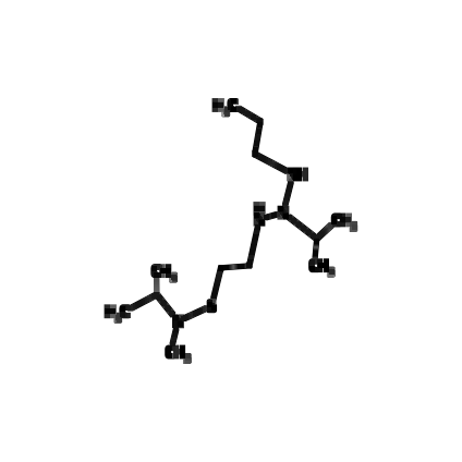 CCCNN(NCCSN(C)C(C)C)C(C)C